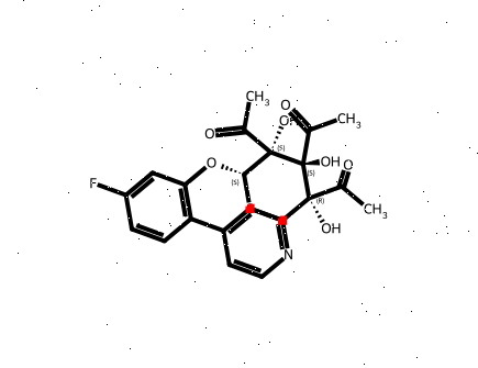 CC(=O)[C@]1(O)[C@@](O)(C(C)=O)CS[C@H](Oc2cc(F)ccc2-c2ccncc2)[C@@]1(O)C(C)=O